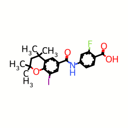 CC1(C)CC(C)(C)c2cc(C(=O)Nc3ccc(C(=O)O)c(F)c3)cc(I)c2O1